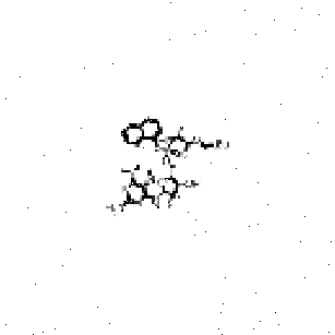 C=Nc1c(N(C)C)nc(N)nc1N(C)[C@@H]1O[C@H](COP(=S)(N[C@@H](C)C(=O)OCC(C)(C)C)Oc2cccc3ccccc23)[C@@H](O)[C@@]1(C)F